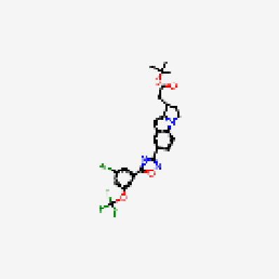 CC(C)(C)OC(=O)CC1CCn2c1cc1cc(-c3noc(-c4cc(Br)cc(OC(F)(F)F)c4)n3)ccc12